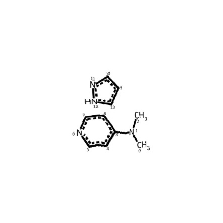 CN(C)c1ccncc1.c1cn[nH]c1